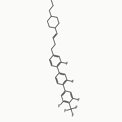 CCCC1CCC(/C=C/CCc2ccc(-c3ccc(-c4cc(F)c(C(F)(F)F)c(F)c4)c(F)c3)c(F)c2)CC1